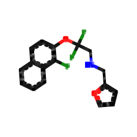 Fc1c(OC(F)(F)CNCc2ccco2)ccc2ccccc12